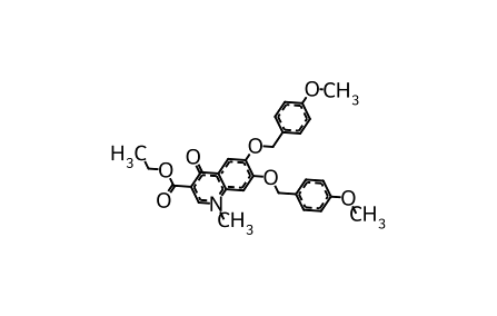 CCOC(=O)c1cn(C)c2cc(OCc3ccc(OC)cc3)c(OCc3ccc(OC)cc3)cc2c1=O